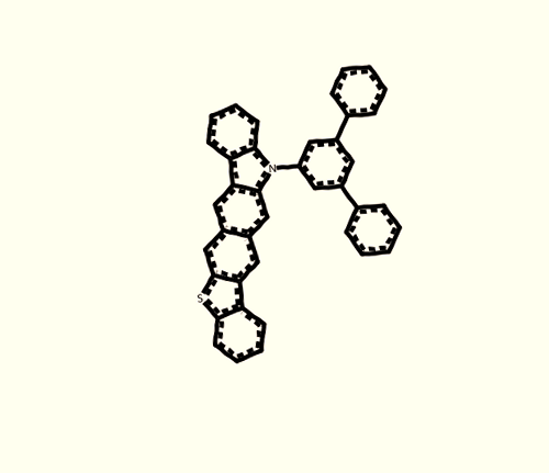 c1ccc(-c2cc(-c3ccccc3)cc(-n3c4ccccc4c4cc5cc6sc7ccccc7c6cc5cc43)c2)cc1